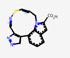 O=C(O)c1cc2cccc3c2n1C/C=C\S/N=C\C1=C3CN=N1